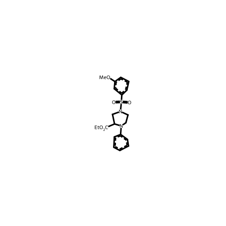 CCOC(=O)C1CN(S(=O)(=O)c2cccc(OC)c2)CCN1c1ccccc1